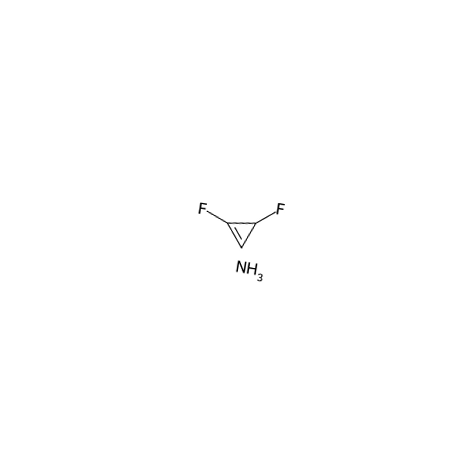 FC1=CC1F.N